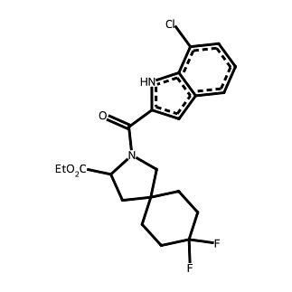 CCOC(=O)C1CC2(CCC(F)(F)CC2)CN1C(=O)c1cc2cccc(Cl)c2[nH]1